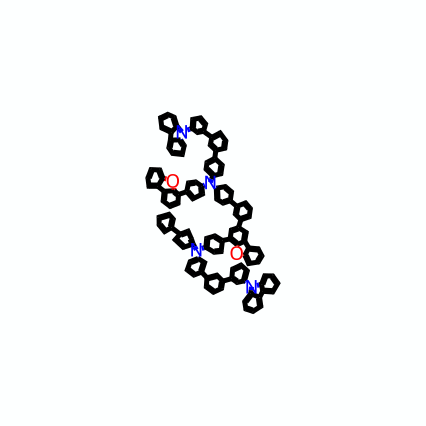 c1ccc(-c2ccc(N(c3ccc(-c4cc(-c5cccc(-c6ccc(N(c7ccc(-c8cccc(-c9cccc(-n%10c%11ccccc%11c%11ccccc%11%10)c9)c8)cc7)c7ccc(-c8cccc9c8oc8ccccc89)cc7)cc6)c5)cc5c4oc4ccccc45)cc3)c3cccc(-c4cccc(-c5cccc(-n6c7ccccc7c7ccccc76)c5)c4)c3)cc2)cc1